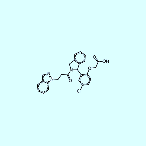 O=C(O)COc1ccc(Cl)cc1C1c2ccccc2CN1C(=O)CCn1ncc2ccccc21